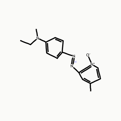 CCN(C)c1ccc(/N=N/c2cc(C)cc[n+]2[O-])cc1